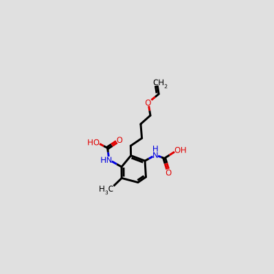 C=COCCCCc1c(NC(=O)O)ccc(C)c1NC(=O)O